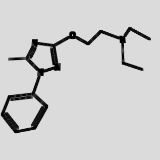 CCN(CC)CCOc1nc(C)n(-c2ccccc2)n1